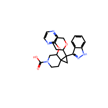 O=C(O)N1CCC2(CC2(c2n[nH]c3ccccc23)C2CCCCO2)C(Oc2cnccn2)C1